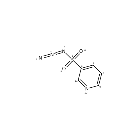 [N-]=[N+]=NS(=O)(=O)c1cccnc1